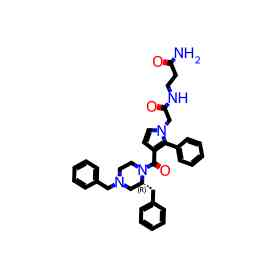 NC(=O)CCNC(=O)Cn1ccc(C(=O)N2CCN(Cc3ccccc3)C[C@H]2Cc2ccccc2)c1-c1ccccc1